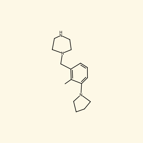 Cc1c(CN2CCNCC2)cccc1N1CCCC1